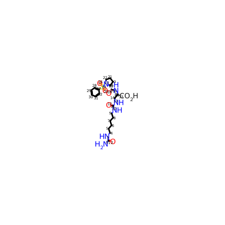 NC(=O)NCCCCCCNC(=O)NC[C@@H](NC(=O)[C@H]1CCCN1S(=O)(=O)c1ccccc1)C(=O)O